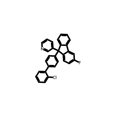 Fc1ccc2c(c1)-c1ccccc1C2(c1ccc(-c2ccccc2Cl)cc1)c1cccnc1